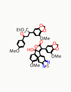 CCOC(=O)C(CC(=O)c1ccc(OC)cc1)c1cc(OC)c2c(c1)OCO2.COc1ccc(C2(O)OC(=O)C(c3cc(OC)c4c(c3)OCO4)=C2c2ccc3nsnc3c2)cc1